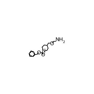 NCCOCC1CCN(C(=O)OCc2ccccc2)CC1